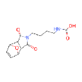 O=C(O)NCCCCN1C(=O)C2C3C=CC(O3)C2C1=O